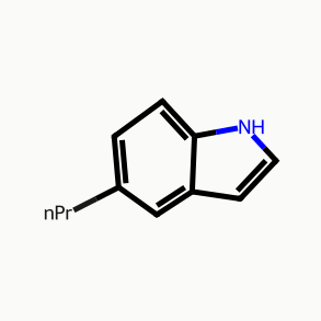 [CH2]CCc1ccc2[nH]ccc2c1